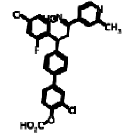 Cc1cc(/C(C[C@@H](c2ccc(-c3ccc(OC(=O)O)c(Cl)c3)cc2)c2ccc(Cl)cc2F)=N/O)ccn1